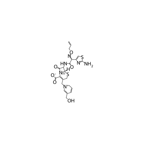 C=CCON=C(C(=O)NC1C(=O)N2C(C(=O)[O-])=C(C[n+]3cccc(CO)c3)CS[C@@H]12)c1csc(N)n1